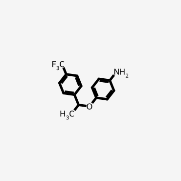 CC(Oc1ccc(N)cc1)c1ccc(C(F)(F)F)cc1